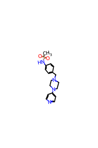 CS(=O)(=O)Nc1ccc(CN2CCN(c3ccncc3)CC2)cc1